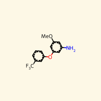 COc1cc(N)cc(Oc2cccc(C(F)(F)F)c2)c1